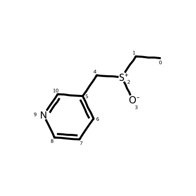 CC[S+]([O-])Cc1cccnc1